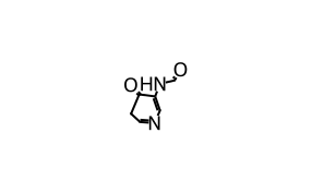 O=CNC1=CN=CCC1=O